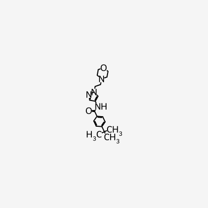 CC(C)(C)c1ccc(C(=O)Nc2cnn(CCN3CCOCC3)c2)cc1